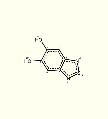 Oc1cc2nsnc2cc1O